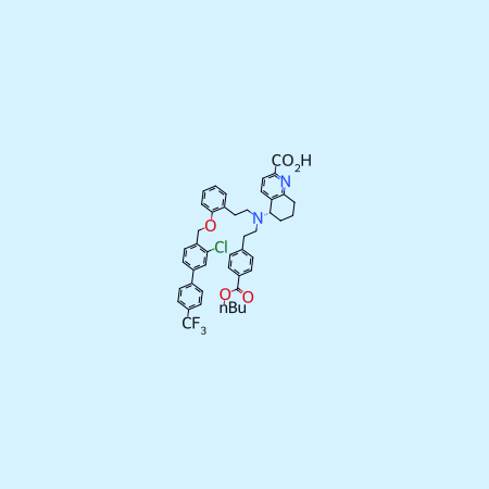 CCCCOC(=O)c1ccc(CCN(CCc2ccccc2OCc2ccc(-c3ccc(C(F)(F)F)cc3)cc2Cl)[C@H]2CCCc3nc(C(=O)O)ccc32)cc1